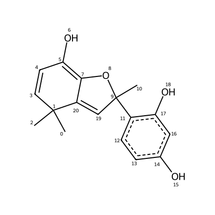 CC1(C)C=CC(O)=C2OC(C)(c3ccc(O)cc3O)C=C21